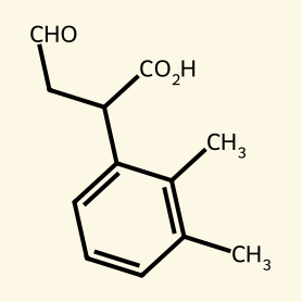 Cc1cccc(C(CC=O)C(=O)O)c1C